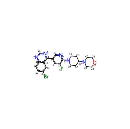 Fc1cc(-c2ncnc3ccc(Br)cc23)cnc1N1CCC(N2CCOCC2)CC1